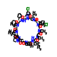 CC[C@H](C)[C@@H]1NC(=O)[C@H](C)N(C)C(=O)C[C@@H](C(=O)N2CCCC2)NC(=O)[C@H](C(C)C)N(C)C(=O)[C@H](Cc2ccccc2)N(C)C(=O)[C@H](Cc2ccccc2)NC(=O)[C@H](Cc2cccc(Cl)c2)NC(=O)CN(CC)C(=O)[C@H](Cc2ccc(Cl)cc2)N(C)C(=O)CN(C)C(=O)CN(C)C1=O